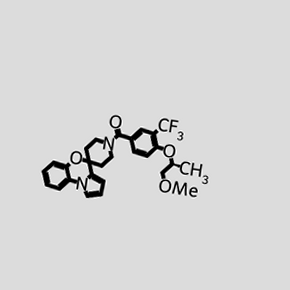 COC[C@H](C)Oc1ccc(C(=O)N2CCC3(CC2)Oc2ccccc2-n2cccc23)cc1C(F)(F)F